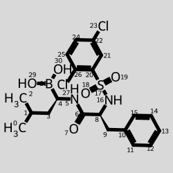 CC(C)C[C@H](NC(=O)[C@H](Cc1ccccc1)NS(=O)(=O)c1cc(Cl)ccc1Cl)B(O)O